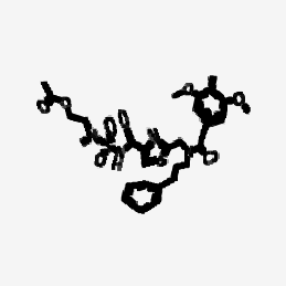 COc1cc(C(=O)N(CCCc2ccccc2)Cc2nc(C(=O)NS(=O)(=O)N(C)CCOC(C)=O)cs2)cc(OC)c1C